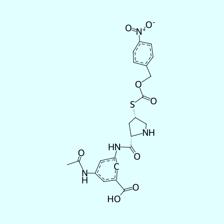 CC(=O)Nc1cc(NC(=O)[C@@H]2C[C@H](SC(=O)OCc3ccc([N+](=O)[O-])cc3)CN2)cc(C(=O)O)c1